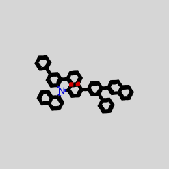 c1ccc(-c2ccc(N(c3ccc(-c4ccc(-c5ccc6ccccc6c5)c(-c5ccccc5)c4)cc3)c3cccc4ccccc34)c(-c3ccccc3)c2)cc1